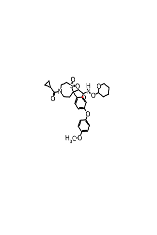 COc1ccc(Oc2ccc(C3(CC(=O)NOC4CCCCO4)CCN(C(=O)C4CC4)CCS3(=O)=O)cc2)cc1